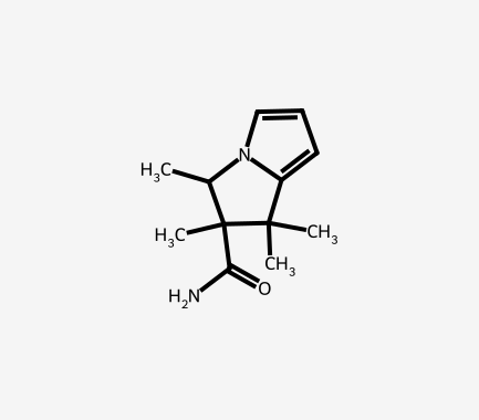 CC1n2cccc2C(C)(C)C1(C)C(N)=O